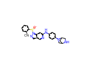 N#Cc1ccccc1[S+]([O-])n1ncc2cnc(Nc3ccc(N4CC5CC4CN5)cc3)cc21